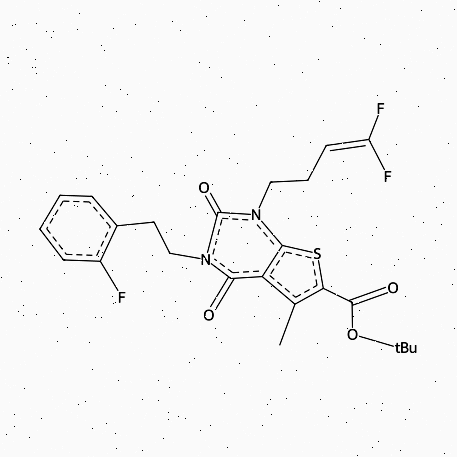 Cc1c(C(=O)OC(C)(C)C)sc2c1c(=O)n(CCc1ccccc1F)c(=O)n2CCC=C(F)F